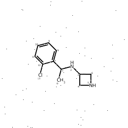 CC(NC1CNC1)c1ccccc1Cl